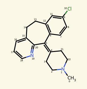 CN1CCC(=C2c3ccc(Cl)cc3CCc3cccnc32)CC1